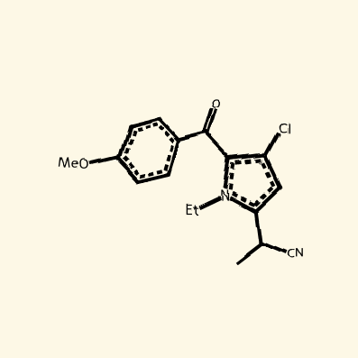 CCn1c(C(C)C#N)cc(Cl)c1C(=O)c1ccc(OC)cc1